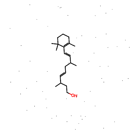 CC1=C(/C=C/C(C)C/C=C/C(C)CCO)C(C)(C)CCC1